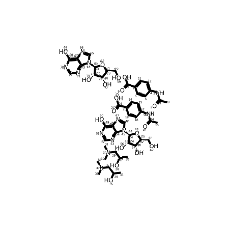 CC(=O)Nc1ccc(C(=O)O)cc1.CC(=O)Nc1ccc(C(=O)O)cc1.CC(O)CN(C)C.CC(O)CN(C)C.OC[C@@H]1O[C@H](n2cnc3c(O)ncnc32)[C@@H](O)[C@H]1O.OC[C@@H]1O[C@H](n2cnc3c(O)ncnc32)[C@@H](O)[C@H]1O